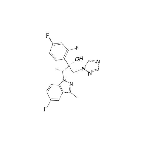 Cc1nn([C@H](C)[C@](O)(Cn2cncn2)c2ccc(F)cc2F)c2ccc(F)cc12